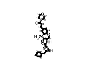 CN1C(=O)C(NC(=O)c2n[nH]c(Cc3ccccc3)n2)COc2ccc(CCC(=O)N3CCOCC3)cc21